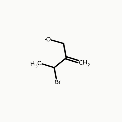 C=C(C[O])C(C)Br